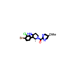 COc1cnc(C(=O)N2CCc3[nH]c4c(Cl)c(Br)ccc4c3[C@H]2C)nc1